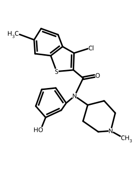 Cc1ccc2c(Cl)c(C(=O)N(c3cccc(O)c3)C3CCN(C)CC3)sc2c1